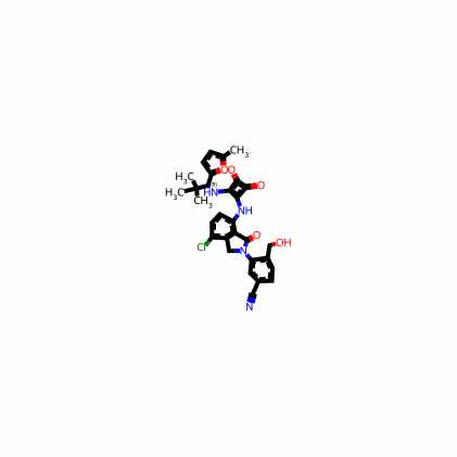 Cc1ccc([C@H](Nc2c(Nc3ccc(Cl)c4c3C(=O)N(c3cc(C#N)ccc3CO)C4)c(=O)c2=O)C(C)(C)C)o1